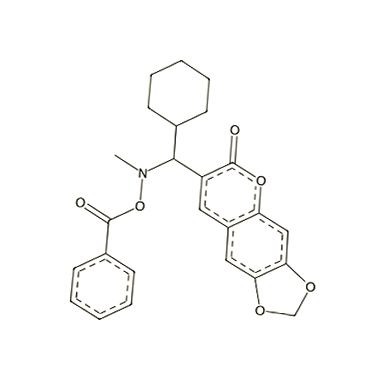 CN(OC(=O)c1ccccc1)C(c1cc2cc3c(cc2oc1=O)OCO3)C1CCCCC1